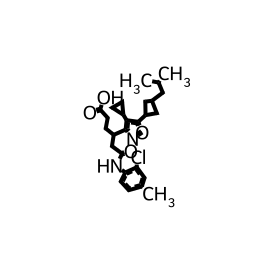 Cc1ccc(NC(=O)CC(CCC(=O)O)c2noc(C3CC(CC(C)C)C3)c2C2CC2)c(Cl)c1